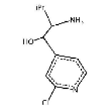 CC(C)C(N)C(O)c1ccnc(Cl)c1